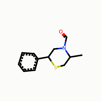 CC1CSC(c2ccccc2)CN1C=O